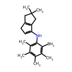 Bc1c(C)c(C)c(C)c(C)c1NC1=CCC2=C1CC(C)(C)C2